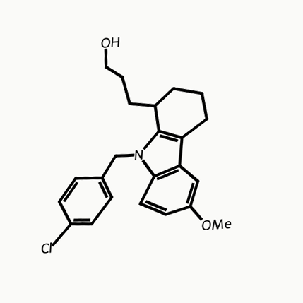 COc1ccc2c(c1)c1c(n2Cc2ccc(Cl)cc2)C(CCCO)CCC1